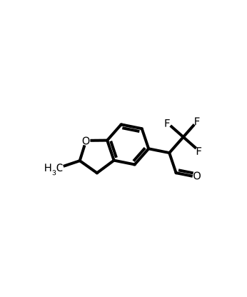 CC1Cc2cc(C(C=O)C(F)(F)F)ccc2O1